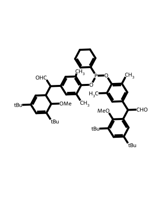 COc1c(C(C=O)c2cc(C)c(OP(Oc3c(C)cc(C(C=O)C4C=C(C(C)(C)C)C=C(C(C)(C)C)C4OC)cc3C)C3=CCCC=C3)c(C)c2)cc(C(C)(C)C)cc1C(C)(C)C